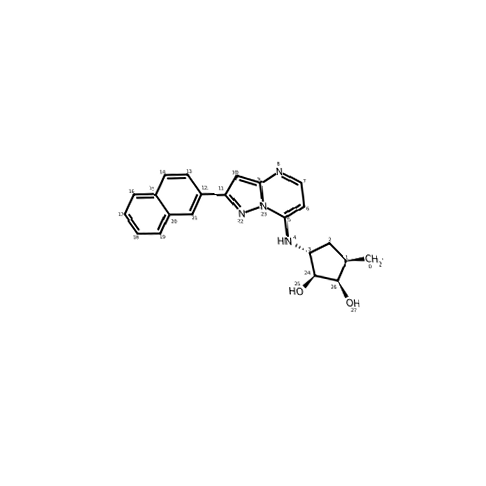 [CH2][C@@H]1C[C@@H](Nc2ccnc3cc(-c4ccc5ccccc5c4)nn23)[C@H](O)[C@@H]1O